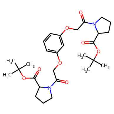 CC(C)(C)OC(=O)C1CCCN1C(=O)COc1cccc(OCC(=O)N2CCCC2C(=O)OC(C)(C)C)c1